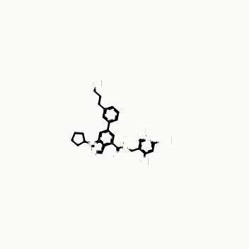 Cc1cc(C)c(CNC(=O)c2cc(-c3cccc(CCCO)c3)cc3c2cnn3C2CCCC2)c(=O)[nH]1